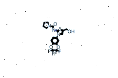 O=C(/N=c1\sc(CO)cn1-c1ccc2c(c1)OC(F)(F)C(F)(F)O2)N1CCCC1